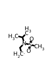 [CH2]CN(C(C)C)S(C)(=O)=O